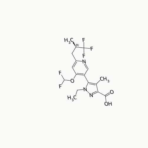 CCn1nc(C(=O)O)c(C)c1-c1cnc(C[C@@H](C)C(F)(F)F)cc1OC(F)F